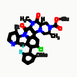 CCc1ccnc(C(C)C)c1-n1c(=O)c2c(c3cc(Cl)c(-c4c(F)cccc4OC)c(F)c31)N1C[C@@H](C)N(C(=O)OC(C)(C)C)C[C@@H]1C(=O)N2C